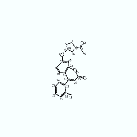 CC(=O)N1CC[C@H](Oc2ccc3c(-c4ccccc4C)cc(=O)oc3c2)C1